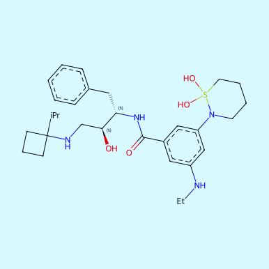 CCNc1cc(C(=O)N[C@@H](Cc2ccccc2)[C@@H](O)CNC2(C(C)C)CCC2)cc(N2CCCCS2(O)O)c1